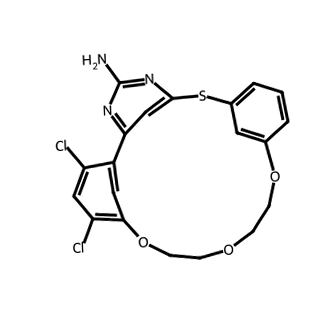 Nc1nc2cc(n1)-c1cc(c(Cl)cc1Cl)OCCOCCOc1cccc(c1)S2